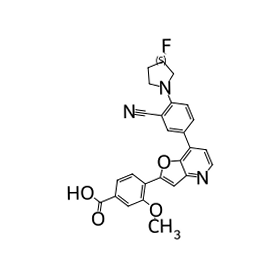 COc1cc(C(=O)O)ccc1-c1cc2nccc(-c3ccc(N4CC[C@H](F)C4)c(C#N)c3)c2o1